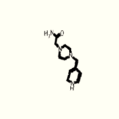 NC(=O)CN1CCN(CC2=CCNC=C2)CC1